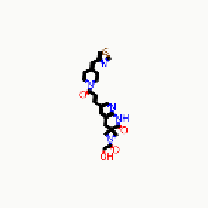 O=C(C=Cc1cnc2c(c1)CC1(CN(C(=O)CO)C1)C(=O)N2)N1CCC(=Cc2cscn2)CC1